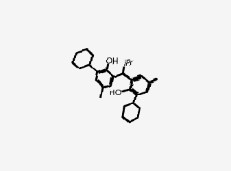 Cc1cc(C2CCCCC2)c(O)c(C(c2cc(C)cc(C3CCCCC3)c2O)C(C)C)c1